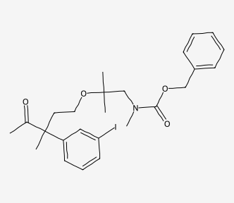 CC(=O)C(C)(CCOC(C)(C)CN(C)C(=O)OCc1ccccc1)c1cccc(I)c1